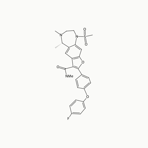 CNC(=O)c1c(-c2ccc(Oc3ccc(F)cc3)cc2)oc2cc3c(cc12)[C@H](C)N(C)CCN3S(C)(=O)=O